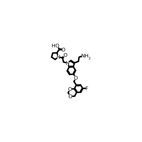 NCCc1cn(CC(=O)N2CCCC2C(=O)O)c2ccc(OCc3cc(F)cc4c3OCOC4)cc12